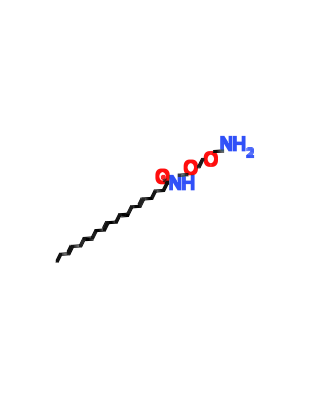 CCC=CCC=CCC=CCC=CCC=CCCCC(=O)NCCOCCOCCN